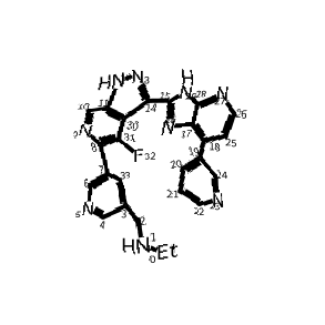 CCNCc1cncc(-c2ncc3[nH]nc(-c4nc5c(-c6cccnc6)ccnc5[nH]4)c3c2F)c1